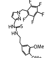 COc1ccc(CCNC(=S)Nc2ccn(Cc3c(F)c(F)c(F)c(F)c3F)n2)cc1OC